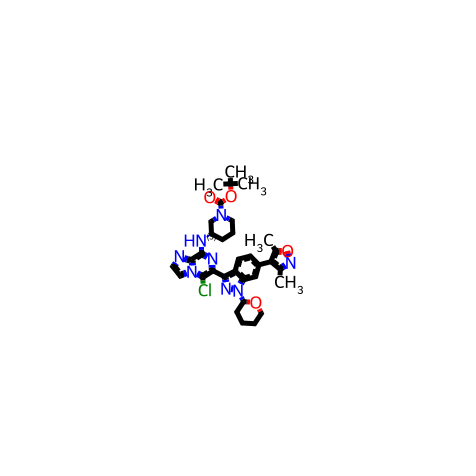 Cc1noc(C)c1-c1ccc2c(-c3nc(N[C@H]4CCCN(C(=O)OC(C)(C)C)C4)c4nccn4c3Cl)nn(C3CCCCO3)c2c1